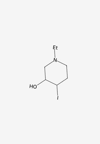 CCN1CCC(I)C(O)C1